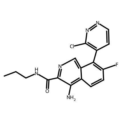 CCCNC(=O)c1ncc2c(-c3ccnnc3Cl)c(F)ccc2c1N